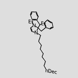 CCCCCCCCCCCCCCCCCCN1C=CN(CC)C1(Cc1ccccc1)C(CC)c1ccccc1